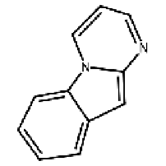 c1ccc2c(c1)cc1ncccn12